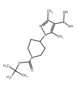 Cc1nn(C2CCN(C(=O)OC(C)(C)C)CC2)c(C)c1B(O)O